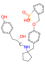 O=[PH](O)c1ccccc1COc1ccc(CC2(NC[C@@H](O)Cc3ccc(O)cc3)CCCC2)cc1